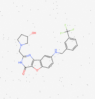 O=c1[nH]c(CN2CC[C@H](O)C2)nc2c1oc1ccc(NCc3cccc(C(F)(F)F)c3)cc12